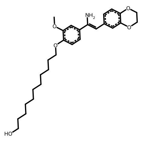 COc1cc(/C(N)=C/c2ccc3c(c2)OCCO3)ccc1OCCCCCCCCCCCO